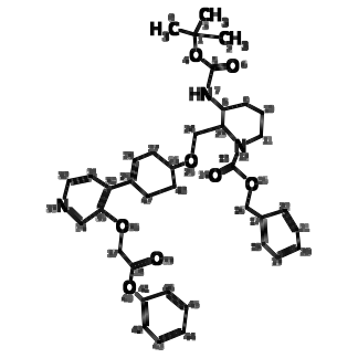 CC(C)(C)OC(=O)NC1CCCN(C(=O)OCc2ccccc2)C1COC1CC=C(c2ccncc2OCC(=O)Oc2ccccc2)CC1